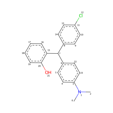 CN(C)c1ccc(C(c2ccc(Cl)cc2)c2ccccc2O)cc1